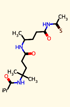 CC(=S)NC(=O)CCC(C)NC(=O)CCC(C)(C)NC(=O)C(C)C